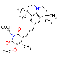 CC1=C(OC=O)C(=O)N(CC(=O)O)C(=O)/C1=C\C=C\c1cc2c3c(c1)C(C)(C)CCN3CCC2(C)C